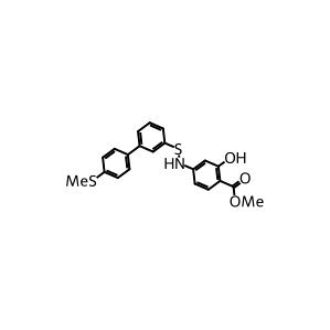 COC(=O)c1ccc(NSc2cccc(-c3ccc(SC)cc3)c2)cc1O